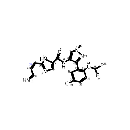 Cn1cc(NC(=O)c2cnc(/C=C\C=N)[nH]2)c(-c2cc(Cl)ccc2OC(F)F)n1